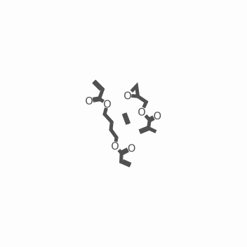 C=C.C=C(C)C(=O)OCC1CO1.C=CC(=O)OCCCCOC(=O)C=C